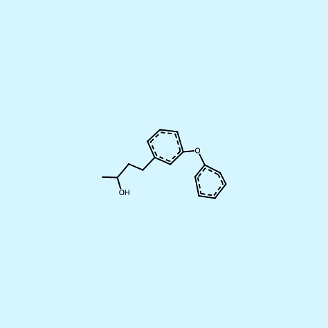 CC(O)CCc1cccc(Oc2ccccc2)c1